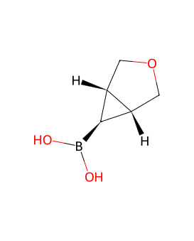 OB(O)[C@H]1[C@@H]2COC[C@@H]21